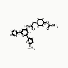 Cc1ccc(-c2nc(NC(=O)CN3CCC(OC(N)=O)CC3)cc(-c3nccs3)n2)o1